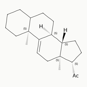 CC(=O)[C@H]1CC[C@H]2[C@@H]3CCC4CCCC[C@]4(C)C3=CC[C@]12C